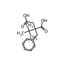 CC(C)(C)C(CC(=O)O)(Cc1ccccc1)C(=O)O